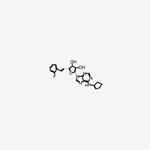 O[C@@H]1[C@H](O)[C@@H](C=Cc2ccccc2F)O[C@H]1n1cnc2c(NC3CCCC3)ncnc21